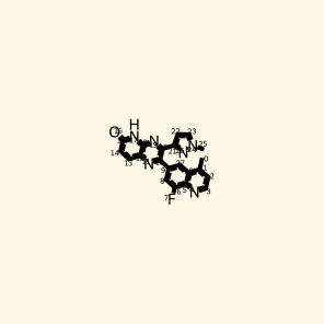 Cc1ccnc2c(F)cc(-c3nc4ccc(=O)[nH]c4nc3-c3ccn(C)n3)cc12